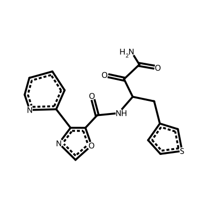 NC(=O)C(=O)C(Cc1ccsc1)NC(=O)c1ocnc1-c1ccccn1